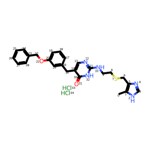 Cc1[nH]cnc1CSCCNc1ncc(Cc2cccc(OCc3ccccc3)c2)c(=O)[nH]1.Cl.Cl